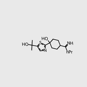 C[CH]CC(=N)C1CCC(O)(c2ncc(C(C)(C)O)s2)CC1